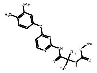 COc1cc(Oc2ccnc(NC(=O)C(C)(C)NC(=O)OC(C)(C)C)n2)ccc1C